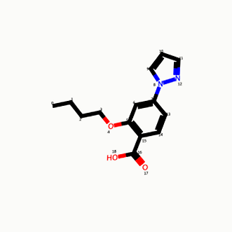 CCCCOc1cc(-n2cccn2)ccc1C(=O)O